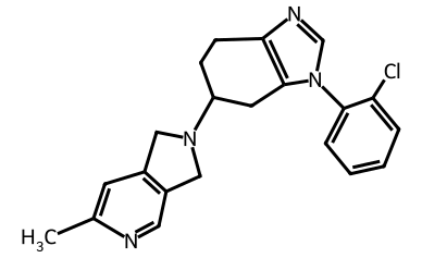 Cc1cc2c(cn1)CN(C1CCc3ncn(-c4ccccc4Cl)c3C1)C2